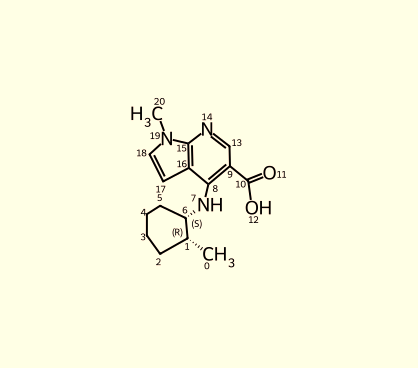 C[C@@H]1CCCC[C@@H]1Nc1c(C(=O)O)cnc2c1ccn2C